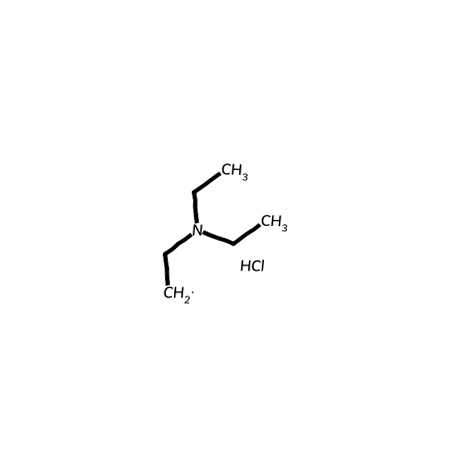 Cl.[CH2]CN(CC)CC